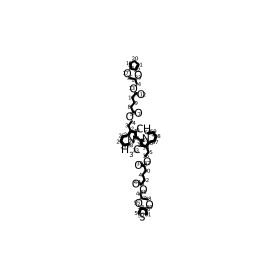 Cc1c(CCOC(=O)CCCC(=O)OCC2COC3=CCC=C3O2)c2ccccn2c1-c1c(C)c(CCOC(=O)CCCC(=O)OCC2COc3cscc3O2)c2ccccn12